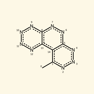 Cc1nnnc2nnc3nnnnc3c12